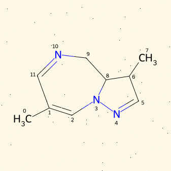 CC1=CN2N=CC(C)C2CN=C1